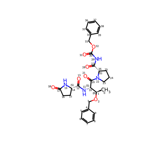 C[C@@H](OCc1ccccc1)[C@H](NC(=O)[C@@H]1CCC(=O)N1)C(=O)N1CCC[C@H]1C(=O)NC(=O)OCc1ccccc1